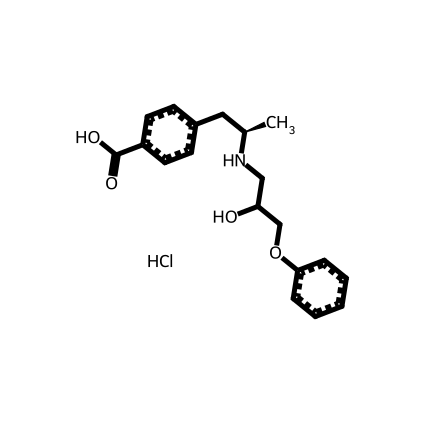 C[C@H](Cc1ccc(C(=O)O)cc1)NCC(O)COc1ccccc1.Cl